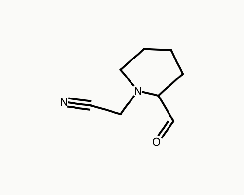 N#CCN1CCCCC1C=O